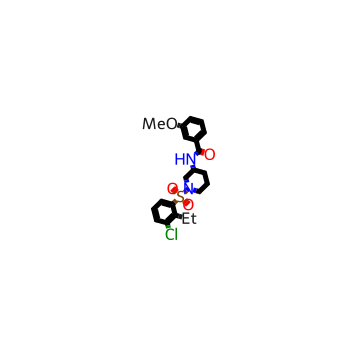 CCc1c(Cl)cccc1S(=O)(=O)N1CCCC(NC(=O)c2cccc(OC)c2)C1